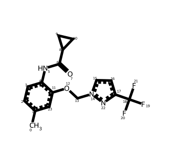 Cc1ccc(NC(=O)C2CC2)c(OCn2ccc(C(F)(F)F)n2)c1